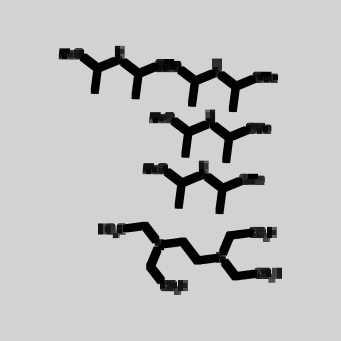 COC(C)NC(C)OC.COC(C)NC(C)OC.COC(C)NC(C)OC.COC(C)NC(C)OC.O=C(O)CN(CCN(CC(=O)O)CC(=O)O)CC(=O)O